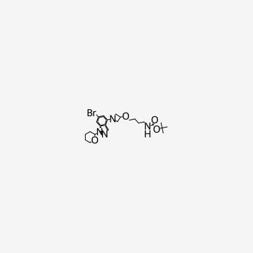 CC(C)(C)OC(=O)NCCCCOC1CN(c2cc(Br)cc3c2cnn3C2CCCCO2)C1